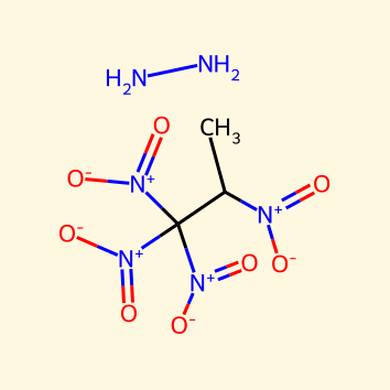 CC([N+](=O)[O-])C([N+](=O)[O-])([N+](=O)[O-])[N+](=O)[O-].NN